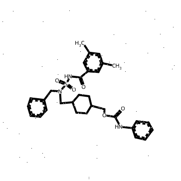 Cc1cc(C)cc(C(=O)NS(=O)(=O)N(Cc2ccccc2)CC2CCC(COC(=O)Nc3ccccc3)CC2)c1